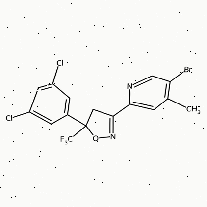 Cc1cc(C2=NOC(c3cc(Cl)cc(Cl)c3)(C(F)(F)F)C2)ncc1Br